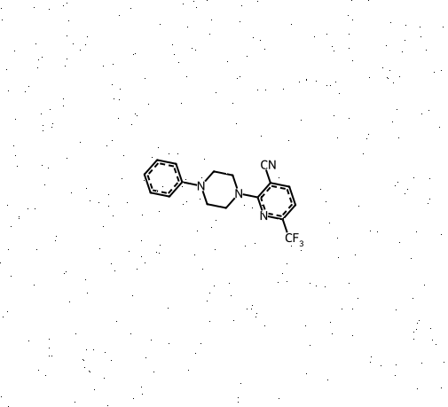 N#Cc1ccc(C(F)(F)F)nc1N1CCN(c2ccccc2)CC1